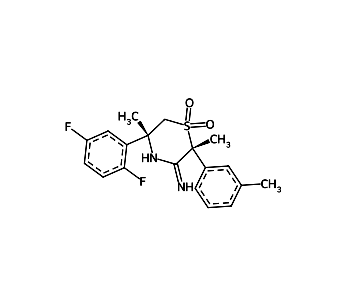 Cc1cccc([C@]2(C)C(=N)N[C@](C)(c3cc(F)ccc3F)CS2(=O)=O)c1